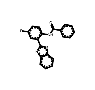 O=C(Nc1ccc(F)cc1-c1nc2ccccc2s1)c1ccccc1